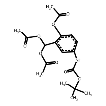 CC(=O)Oc1ccc(NC(=O)OC(C)(C)C)cc1C(OC(C)=O)OC(C)=O